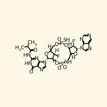 CC(C)C(=O)Nc1nc2c(ncn2[C@@H]2O[C@@H]3CO[P@](=O)(S)O[C@H]4[C@@H](F)[C@H](n5cnc6cncnc65)O[C@@H]4CNS(=O)(=O)O[C@@H]2[C@@H]3F)c(=O)[nH]1